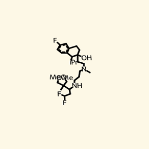 COCC(C)(COC)C(CC(F)F)NCCCN(C)CCC1(O)CCc2cc(F)ccc2C1C(C)C